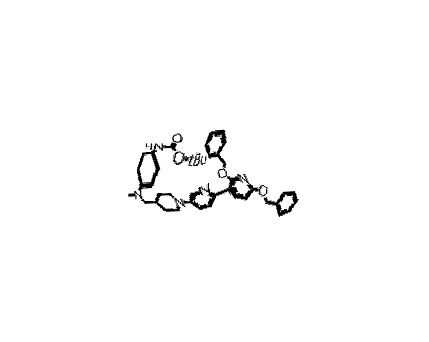 CN(CC1CCN(c2ccc(-c3ccc(OCc4ccccc4)nc3OCc3ccccc3)nc2)CC1)C1CCC(NC(=O)OC(C)(C)C)CC1